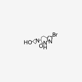 O=C1Nc2ncc(Br)cc2CCC1N1CC(O)C1